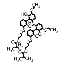 C=CSc1ccc(Sc2ccc(SC=C)c(O)c2-c2cccc(SOCCOC(=O)C(=C)C)c2O)c(-c2cccc(SOCCOC(=O)C(=C)C)c2O)c1O